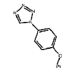 CC(C)Oc1ccc(-n2cnnn2)cc1